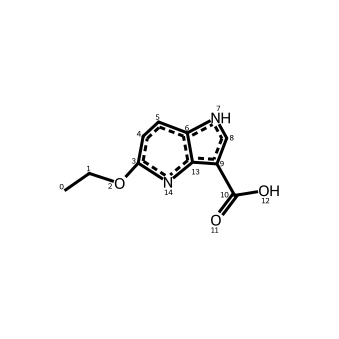 CCOc1ccc2[nH]cc(C(=O)O)c2n1